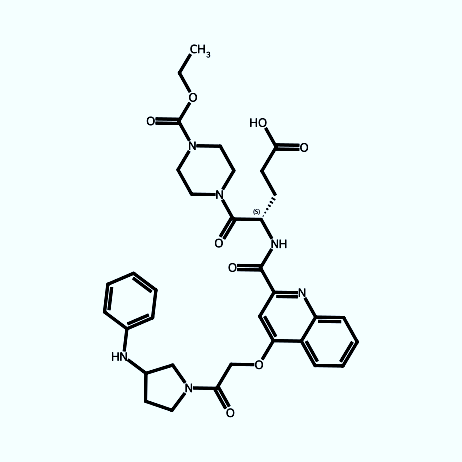 CCOC(=O)N1CCN(C(=O)[C@H](CCC(=O)O)NC(=O)c2cc(OCC(=O)N3CCC(Nc4ccccc4)C3)c3ccccc3n2)CC1